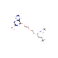 CC(C)(C)[S@+]([O-])N[C@H](CCOCCOc1nc(B(O)O)cn2ncnc12)CCC(F)(F)F